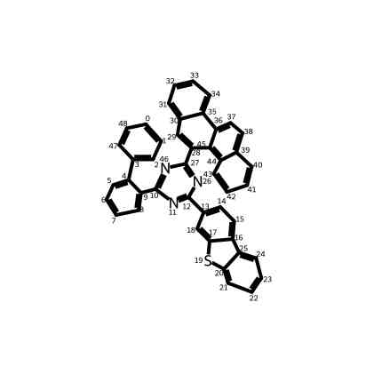 c1ccc(-c2ccccc2-c2nc(-c3ccc4c(c3)sc3ccccc34)nc(-c3cc4ccccc4c4ccc5ccccc5c34)n2)cc1